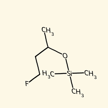 CC(CCF)O[Si](C)(C)C